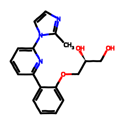 Cc1nccn1-c1cccc(-c2ccccc2OC[C@H](O)CO)n1